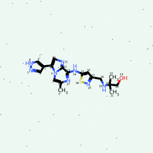 Cc1cn2c(-c3cn[nH]c3)cnc2c(Nc2cc(CNC(C)(C)CO)ns2)n1